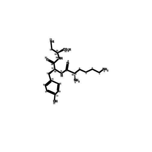 NCCCC[C@H](N)C(=O)N[C@@H](Cc1ccc(O)cc1)C(=O)N[C@@H](CS)C(=O)O